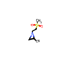 CS(=O)(=O)CCN1CC1C#N